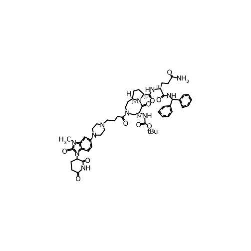 Cn1c(=O)n(C2CCC(=O)NC2=O)c2ccc(N3CCN(CCCC(=O)N4CC[C@H]5CC[C@@H](C(=O)N[C@@H](CCC(N)=O)C(=O)NC(c6ccccc6)c6ccccc6)N5C(=O)[C@@H](NC(=O)OC(C)(C)C)C4)CC3)cc21